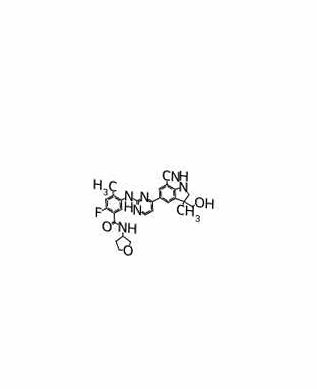 Cc1cc(F)c(C(=O)NC2CCOC2)cc1Nc1nccc(-c2cc(C#N)c3c(c2)[C@@](C)(CO)CN3)n1